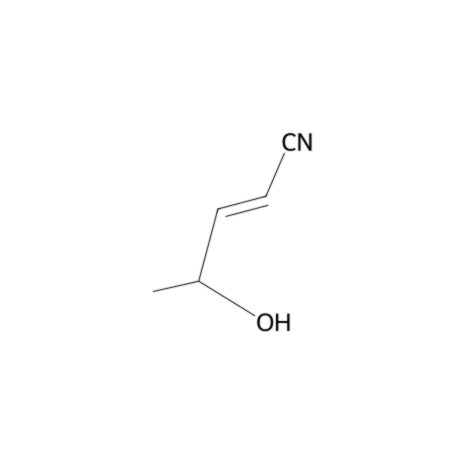 CC(O)C=CC#N